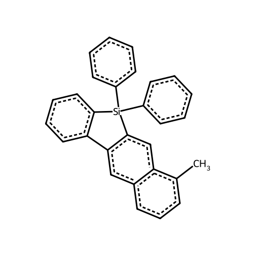 Cc1cccc2cc3c(cc12)[Si](c1ccccc1)(c1ccccc1)c1ccccc1-3